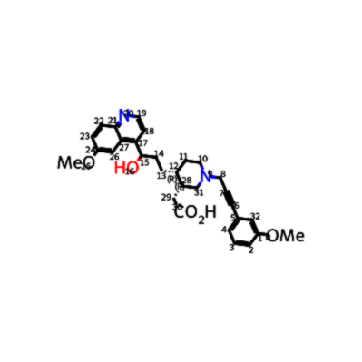 COc1cccc(C#CCN2CC[C@@H](CCC(O)c3ccnc4ccc(OC)cc34)[C@@H](CC(=O)O)C2)c1